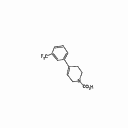 O=C(O)N1CC=C(c2cccc(C(F)(F)F)c2)CC1